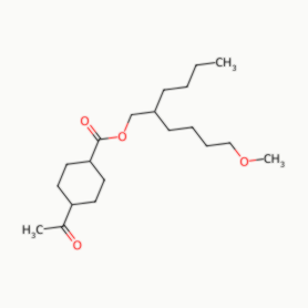 CCCCC(CCCCOC)COC(=O)C1CCC(C(C)=O)CC1